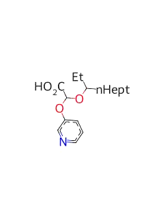 CCCCCCCC(CC)OC(Oc1cccnc1)C(=O)O